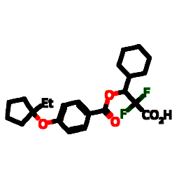 CCC1(Oc2ccc(C(=O)OC(C3CCCCC3)C(F)(F)C(=O)O)cc2)CCCC1